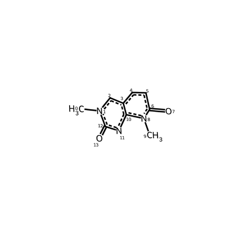 Cn1cc2ccc(=O)n(C)c2nc1=O